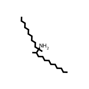 CCCCCCCCCCC(C)C(C)(N)CCCCCCCCCC